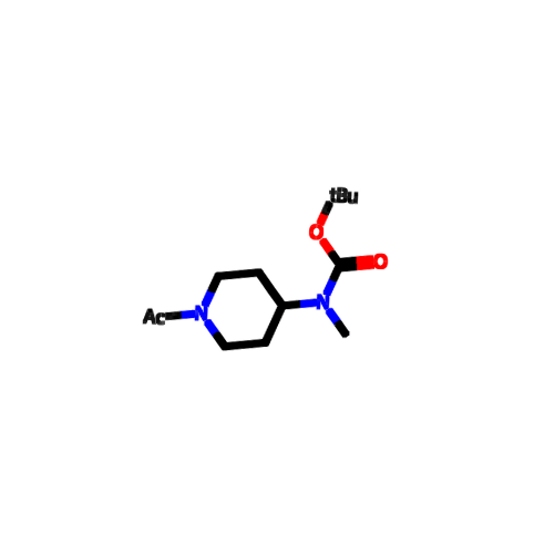 CC(=O)N1CCC(N(C)C(=O)OC(C)(C)C)CC1